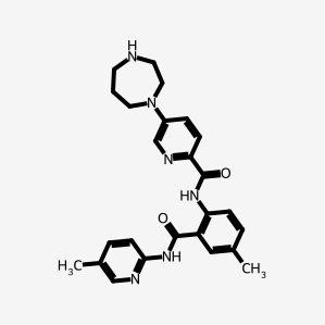 Cc1ccc(NC(=O)c2cc(C)ccc2NC(=O)c2ccc(N3CCCNCC3)cn2)nc1